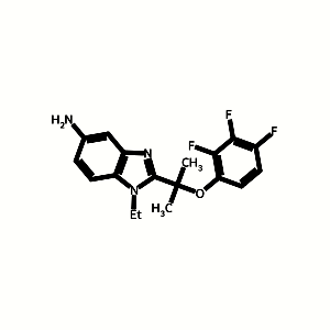 CCn1c(C(C)(C)Oc2ccc(F)c(F)c2F)nc2cc(N)ccc21